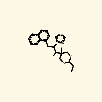 CCC1OCC(C)(C(O)C(Cc2cccc3ccccc23)n2cncn2)CO1